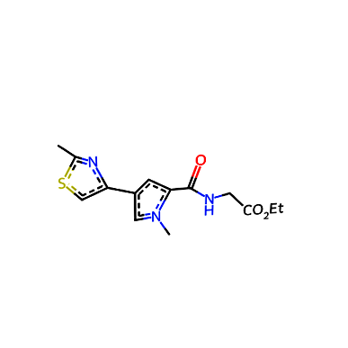 CCOC(=O)CNC(=O)c1cc(-c2csc(C)n2)cn1C